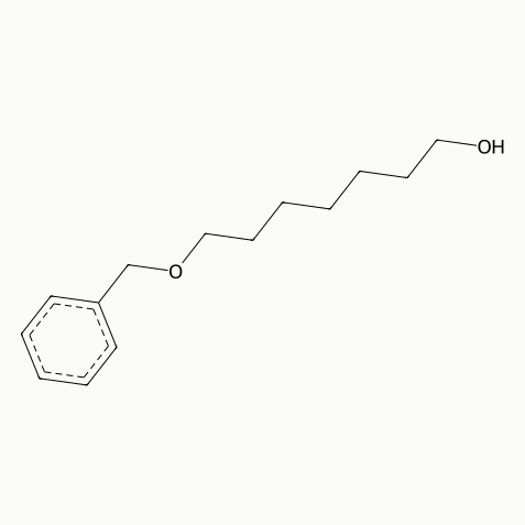 OCCCCCCCOCc1ccccc1